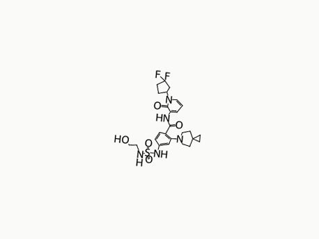 O=C(Nc1cccn(C2CCC(F)(F)C2)c1=O)c1ccc(NS(=O)(=O)NCCO)cc1N1CCC2(CC1)CC2